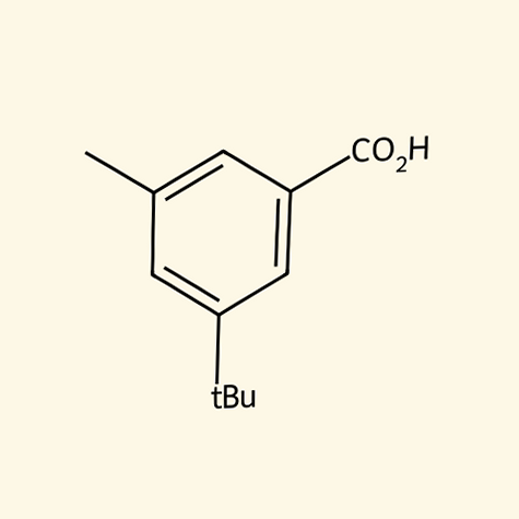 Cc1cc(C(=O)O)cc(C(C)(C)C)c1